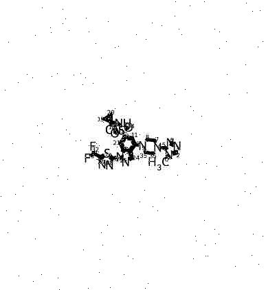 Cn1cnnc1N1CCN(c2cc(S(=O)(=O)NC3(C#N)CC3)cc3c2cnn3-c2nnc(C(F)F)s2)CC1